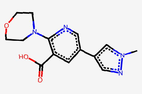 Cn1cc(-c2cnc(N3CCOCC3)c(C(=O)O)c2)cn1